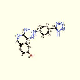 Nc1ncc2ccc(Br)cc2c1/N=N/c1ccc(-c2nnn[nH]2)cc1